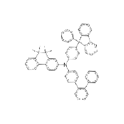 CC1(C)c2ccccc2-c2ccc(N(c3ccc(-c4ccccc4-c4ccccc4)cc3)c3ccc(C4(c5ccccc5)c5ccccc5-c5ccccc54)cc3)cc2C1(C)C